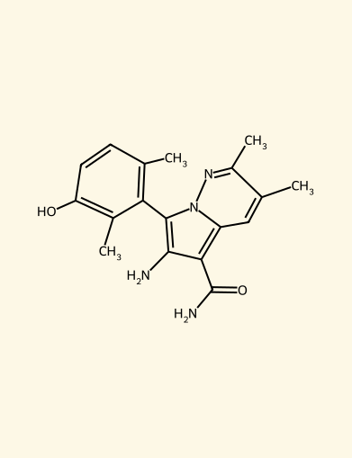 Cc1cc2c(C(N)=O)c(N)c(-c3c(C)ccc(O)c3C)n2nc1C